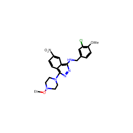 CCON1CCN(c2nnc(NCc3ccc(OC)c(Cl)c3)c3cc([N+](=O)[O-])ccc23)CC1